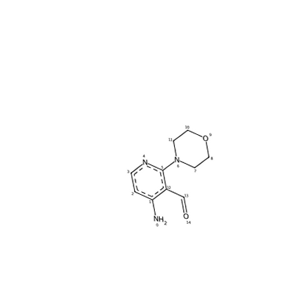 Nc1ccnc(N2CCOCC2)c1C=O